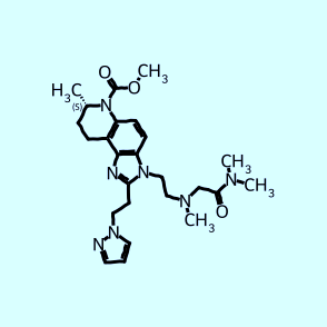 COC(=O)N1c2ccc3c(nc(CCn4cccn4)n3CCN(C)CC(=O)N(C)C)c2CC[C@@H]1C